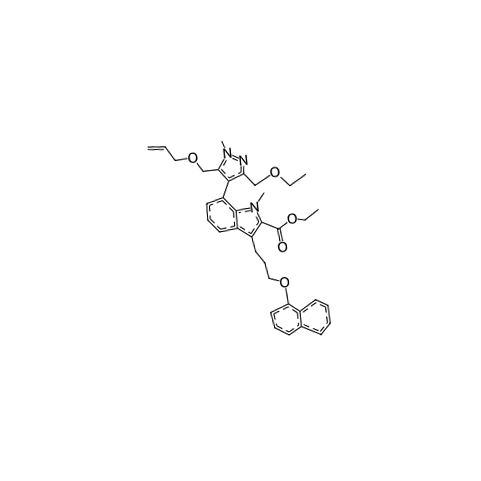 C=CCOCc1c(-c2cccc3c(CCCOc4cccc5ccccc45)c(C(=O)OCC)n(C)c23)c(COCC)nn1C